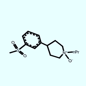 CCC[N+]1([O-])CCC(c2cccc(S(C)(=O)=O)c2)CC1